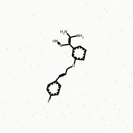 N=NC(=C(N)N)c1cccc(OC/C=C/c2ccc(F)cc2)c1